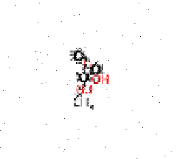 CCCOC(=O)c1cccc(-c2c(O)cccc2OCc2ccccc2)c1